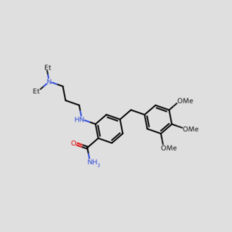 CCN(CC)CCCNc1cc(Cc2cc(OC)c(OC)c(OC)c2)ccc1C(N)=O